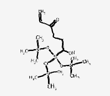 C=CC(=O)CCC(O)[Si](O[Si](C)(C)C)(O[Si](C)(C)C)O[Si](C)(C)C